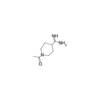 CC(=O)N1CCC(C(=N)N)CC1